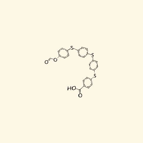 O=COc1ccc(Sc2ccc(Sc3ccc(Sc4ccc(C(=O)O)cc4)cc3)cc2)cc1